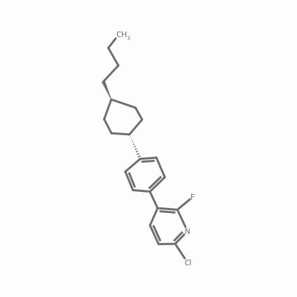 CCCC[C@H]1CC[C@H](c2ccc(-c3ccc(Cl)nc3F)cc2)CC1